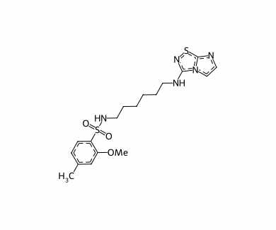 COc1cc(C)ccc1S(=O)(=O)NCCCCCCNc1nsc2nccn12